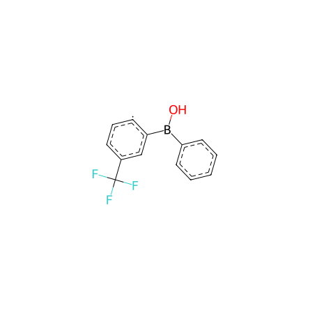 OB(c1[c]ccc(C(F)(F)F)c1)c1ccccc1